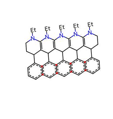 CCN1CCC(c2ccccc2)C2=C1N(CC)C1=C(C2c2ccccc2)C(c2ccccc2)C2=C(N(CC)C3=C(C(c4ccccc4)CCN3CC)C2c2ccccc2)N1CC